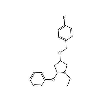 CCN1CC(OCc2ccc(F)cc2)CC1Oc1ccccc1